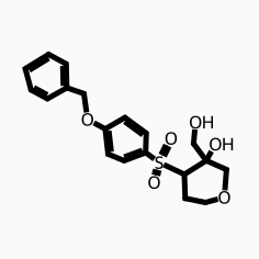 O=S(=O)(c1ccc(OCc2ccccc2)cc1)C1CCOCC1(O)CO